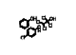 OC(Cl)(Cl)C(Cl)Cl.Oc1ccc(Cl)cc1.Oc1ccccc1